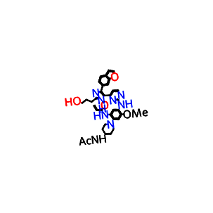 C=CC(=O)Nc1cc(Nc2nccc(-c3[nH]c(CCCO)nc3-c3ccc4ccoc4c3)n2)c(OC)cc1N1CCC(NC(C)=O)CC1